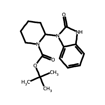 CC(C)(C)OC(=O)N1CCCCC1n1c(=O)[nH]c2ccccc21